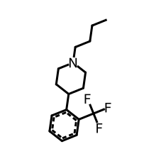 CCCCN1CCC(c2ccccc2C(F)(F)F)CC1